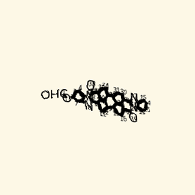 O=COc1ccc2c(c1)nc1c3ccc4c5ccc6c(=O)n7c8ccccc8nc7c7ccc(c8ccc(c(=O)n21)c3c84)c5c67